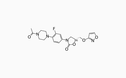 CC(=O)N1CCN(c2ccc(N3C[C@H](COc4ccon4)OC3=O)cc2F)CC1